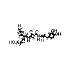 CC(C)(ON=C(C(=O)N[C@H]1CN(C(=O)NSNN=Cc2ccc(O)c(O)c2)C1=O)c1csc(N)n1)C(=O)O